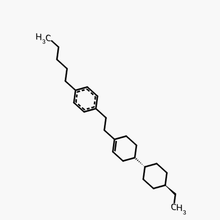 CCCCCc1ccc(CCC2=CCC([C@H]3CC[C@H](CC)CC3)CC2)cc1